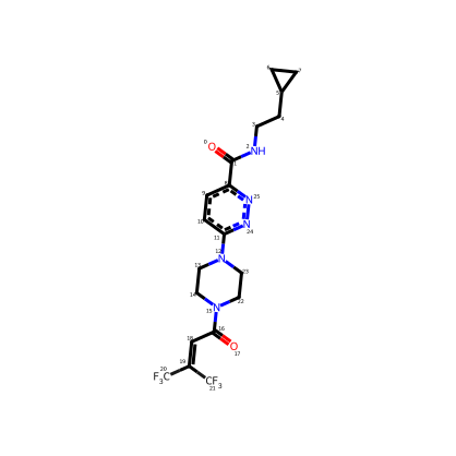 O=C(NCCC1CC1)c1ccc(N2CCN(C(=O)C=C(C(F)(F)F)C(F)(F)F)CC2)nn1